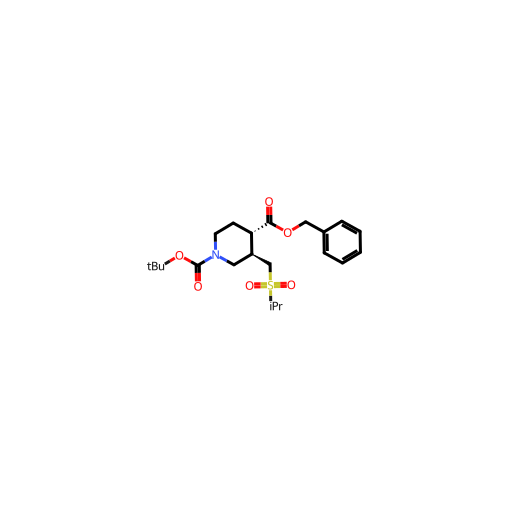 CC(C)S(=O)(=O)C[C@H]1CN(C(=O)OC(C)(C)C)CC[C@@H]1C(=O)OCc1ccccc1